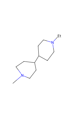 CCN1CCC(C2CCN(C)CC2)CC1